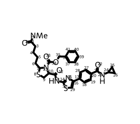 CNC(=O)CCCCC1SCC(C(=O)Nc2nc(-c3ccc(C(=O)NC4CC4)cc3)cs2)N1C(=O)OCc1ccccc1